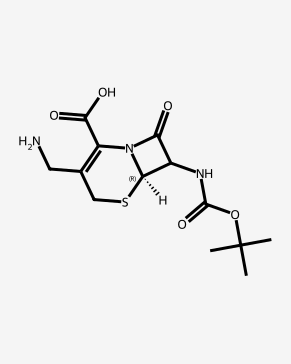 CC(C)(C)OC(=O)NC1C(=O)N2C(C(=O)O)=C(CN)CS[C@H]12